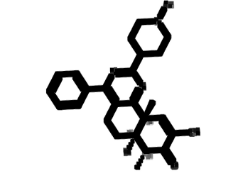 CC(=O)N1CCC(c2nc(-c3ccccc3)c3c(n2)[C@]2(C)C=C(C#N)C(=O)[C@H](C)[C@H]2CC3)CC1